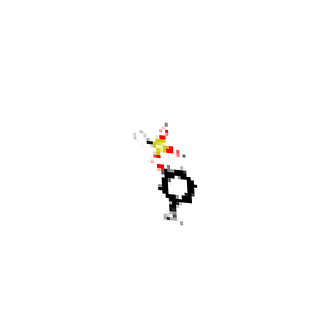 O=S(=O)(Oc1cccc(C(F)(F)F)c1)C(F)(F)F